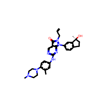 C=CCn1c(=O)c2cnc(Nc3ccc(N4CCN(C)CC4)c(C)c3)nc2n1-c1ccc2c(c1)[C@@](C)(O)CC2